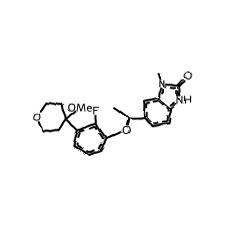 COC1(c2cccc(OC(C)c3ccc4[nH]c(=O)n(C)c4c3)c2F)CCOCC1